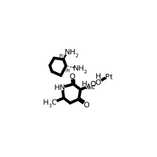 CC(=O)C1C(=O)CC(C)NC1=O.N[C@@H]1CCCC[C@H]1N.O.[OH][Pt]